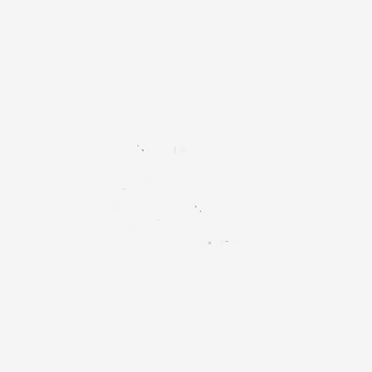 CCCCCCCc1cc(=O)c(-c2c(C)[nH]c(C)c(Cl)c2=O)c[nH]1.Cl